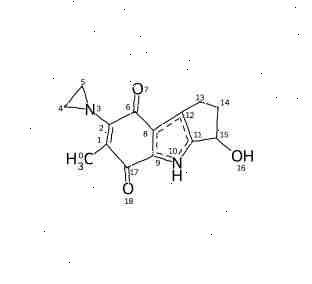 CC1=C(N2CC2)C(=O)c2c([nH]c3c2CCC3O)C1=O